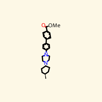 COC(=O)c1ccc(-c2ccc(N3CCN([C@H]4CC[C@H](C)CC4)CC3)cc2)cc1